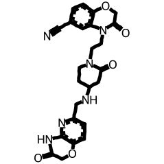 N#Cc1ccc2c(c1)N(CCN1CCC(NCc3ccc4c(n3)NC(=O)CO4)CC1=O)C(=O)CO2